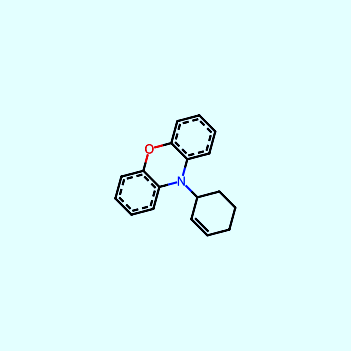 C1=CC(N2c3ccccc3Oc3ccccc32)CCC1